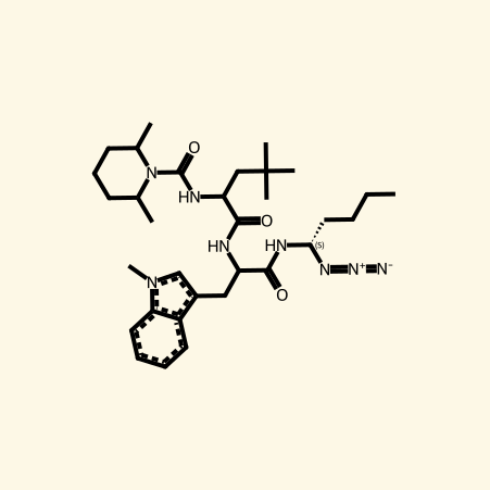 CCCC[C@H](N=[N+]=[N-])NC(=O)C(Cc1cn(C)c2ccccc12)NC(=O)C(CC(C)(C)C)NC(=O)N1C(C)CCCC1C